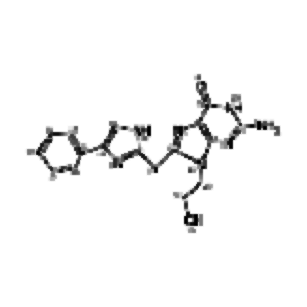 Nc1nc2c(nc(Sc3nc(-c4ccccc4)c[nH]3)n2CCO)c(=O)[nH]1